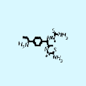 C=CC(N)c1ccc(C(=NN(C)C(N)=S)C(C)=NN(C)C(N)=S)cc1